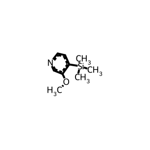 COc1cnccc1[Si](C)(C)C